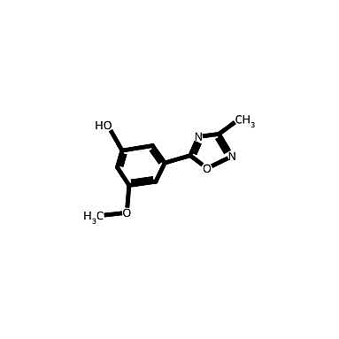 COc1cc(O)cc(-c2nc(C)no2)c1